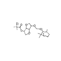 CCC(C)(C)C(=O)OC1COC2C(OCOC3C4(C)CCC(C4)C3(C)C)COC12